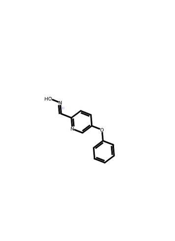 O/N=C/c1ccc(Oc2ccccc2)cn1